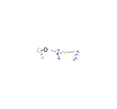 CC(C)(C)OC(=O)N1CCCN=C1c1ccc(OCCCn2ccn(CCCCCCCCn3cc[nH]/c3=N\C(=O)C(F)(F)F)/c2=N\C(=O)C(F)(F)F)cc1